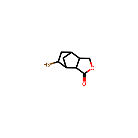 O=C1OCC2C3CC(S)C(C3)C12